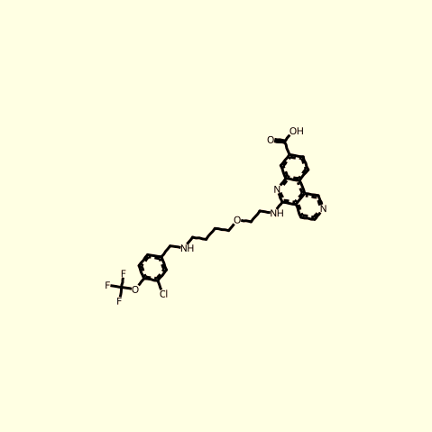 O=C(O)c1ccc2c(c1)nc(NCCOCCCCNCc1ccc(OC(F)(F)F)c(Cl)c1)c1ccncc12